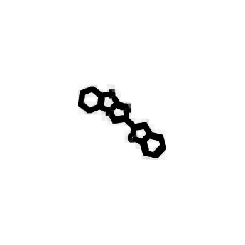 c1ccc2oc(-c3cn4c5c(sc4n3)CCCC5)cc2c1